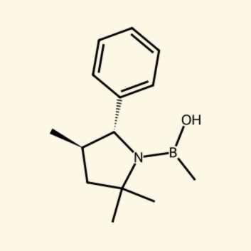 CB(O)N1[C@@H](c2ccccc2)[C@H](C)CC1(C)C